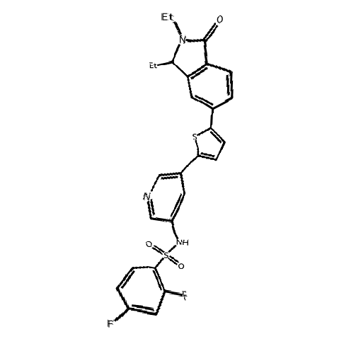 CCC1c2cc(-c3ccc(-c4cncc(NS(=O)(=O)c5ccc(F)cc5F)c4)s3)ccc2C(=O)N1CC